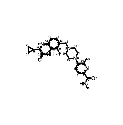 CNC(=O)c1ccc(N2CCN(Cc3ccc4nc(C5CC5)c(=O)[nH]c4c3F)CC2)c(C)n1